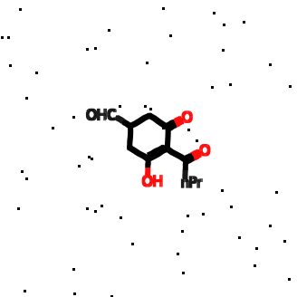 CCCC(=O)C1=C(O)CC(C=O)CC1=O